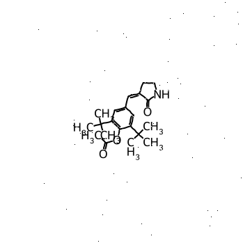 CC(=O)Oc1c(C(C)(C)C)cc(C=C2CCNC2=O)cc1C(C)(C)C